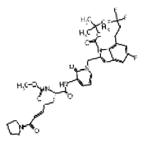 COC(=O)N[C@@H](CC/C=C/C(=O)N1CCCC1)C(=O)Nc1cccn(Cc2cc3cc(F)cc(CCC(F)(F)F)c3n2C(=O)OC(C)(C)C)c1=O